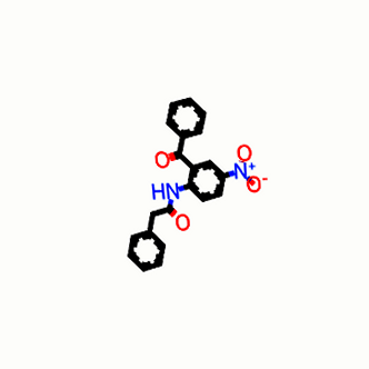 O=C(Cc1ccccc1)Nc1ccc([N+](=O)[O-])cc1C(=O)c1ccccc1